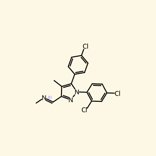 C/N=C/c1nn(-c2ccc(Cl)cc2Cl)c(-c2ccc(Cl)cc2)c1C